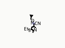 CCSc1cc(/C(C#N)=N/OCC2CC2)cnc1C